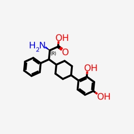 N[C@@H](C(=O)O)C(c1ccccc1)C1CCC(c2ccc(O)cc2O)CC1